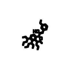 CCCC(CC)c1ccc(C(=O)C(O)=Cc2cccc(CC)c2)c(C(CC)CCC)c1C(CC)CCC